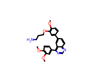 COc1ccc(-c2ncnc3ccc(-c4ccc(OC)c(OCCCN)c4)cc23)cc1OC